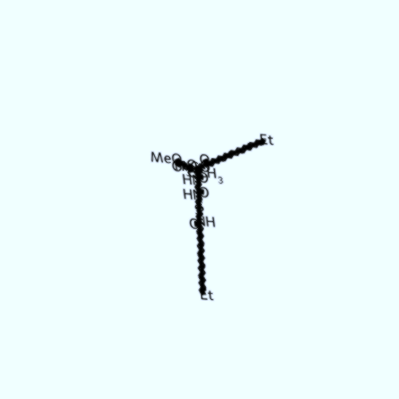 CCC=CCC=CCC=CCC=CCC=CCC=CCC(=O)NCCSSCCNC(=O)CCNC(=O)[C@H](OC(=O)C=CC(=O)OC)C(C)(C)COC(=O)CCCC=CCC=CCC=CCC=CCC=CCC